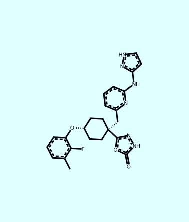 Cc1cccc(O[C@H]2CC[C@](Cc3cccc(Nc4cc[nH]n4)n3)(c3n[nH]c(=O)o3)CC2)c1F